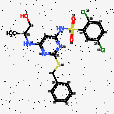 C[C@H](CO)Nc1cc(NS(=O)(=O)c2cc(Cl)ccc2Cl)nc(SCc2ccccc2)n1